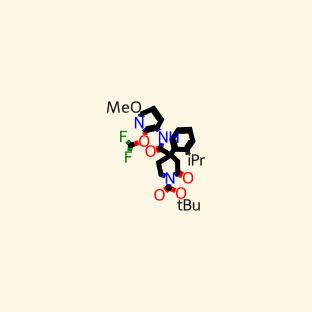 COc1ccc(NC(=O)C2(c3ccccc3C(C)C)CCN(C(=O)OC(C)(C)C)C(=O)C2)c(OC(F)F)n1